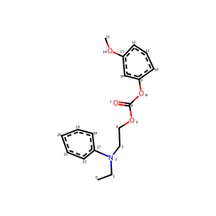 CCN(CCOC(=O)Oc1cccc(OC)c1)c1ccccc1